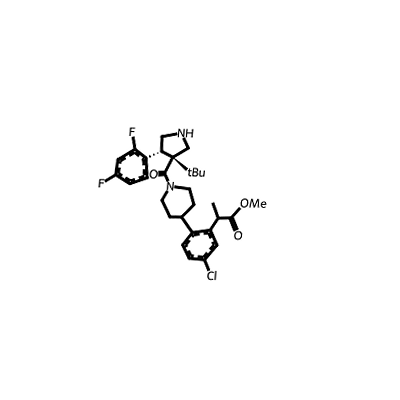 COC(=O)C(C)c1cc(Cl)ccc1C1CCN(C(=O)[C@@]2(C(C)(C)C)CNC[C@H]2c2ccc(F)cc2F)CC1